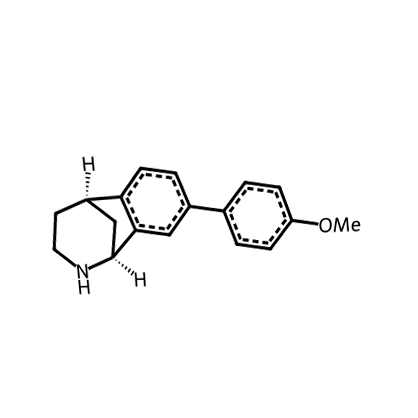 COc1ccc(-c2ccc3c(c2)[C@@H]2C[C@H]3CCN2)cc1